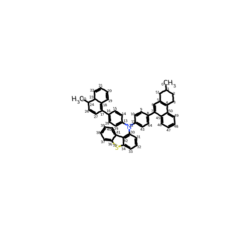 CC1CCc2c(cc(-c3ccc(N(c4ccc(C5=C6C=CC=CC6C(C)C=C5)cc4)c4cccc5sc6ccccc6c45)cc3)c3ccccc23)C1